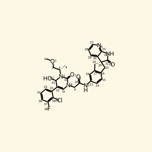 COC[C@H](C)N1C(=O)N(CC(=O)Nc2ccc3c(c2)C[C@@]2(C3)C(=O)Nc3ncccc32)C=C(c2cccc(F)c2Cl)C1O